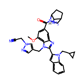 COc1cc(C(=O)N2CC3CCC2[C@@H]3N)cc2nc(-c3cc4ccccc4n3CC3CC3)n(Cc3cnn(CC#N)c3)c12